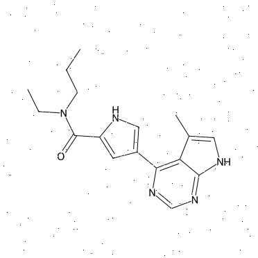 CCCN(CC)C(=O)c1cc(-c2ncnc3[nH]cc(C)c23)c[nH]1